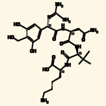 CC(C)(C)[C@H](NC(=O)[C@H](CC(N)=O)NC(=O)[C@@H](N=C(N)N)c1cc(O)c(CO)c(O)c1)C(=O)N[C@@H](CCCCN)C(=O)O